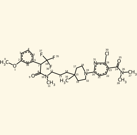 COc1cccc(C(C(=O)N(C)CCCC2(C)CCN(c3ccc(C(=O)N(C)C)c(Cl)n3)CC2)C(F)(F)F)c1